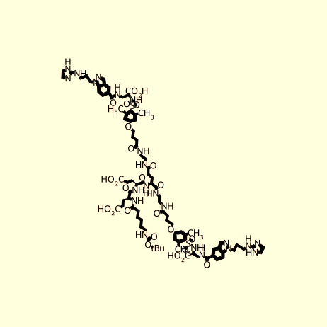 Cc1cc(OCCCC(=O)NCCNC(=O)CCC(NC(=O)[C@H](CCC(=O)O)NC(=O)[C@H](CCC(=O)O)NC(=O)CCCCCNC(=O)OC(C)(C)C)C(=O)NCCNC(=O)CCCOc2cc(C)c(S(=O)(=O)N[C@@H](CNC(=O)c3ccc4c(cnn4CCCNc4ncc[nH]4)c3)C(=O)O)c(C)c2)cc(C)c1S(=O)(=O)N[C@@H](CNC(=O)c1ccc2c(cnn2CCCNc2ncc[nH]2)c1)C(=O)O